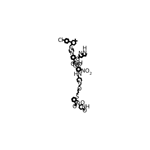 CC1(C)CCC(CN2CCN(c3ccc(C(=O)NS(=O)(=O)c4ccc(NCC5CCN(CCOCCCSc6cccc7c6CN(C6CCC(=O)NC6=O)C7=O)CC5)c([N+](=O)[O-])c4)c(Oc4cnc5[nH]ccc5c4)c3)CC2)=C(c2ccc(Cl)cc2)C1